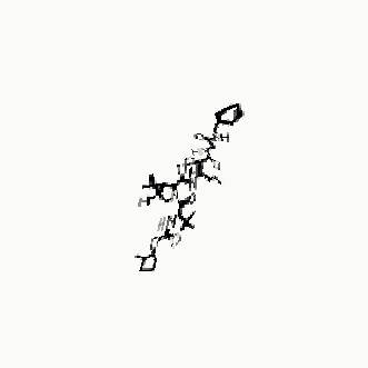 CCCC(NC(=O)C1C2[C@H](CN1C(=O)[C@@H](NC(=O)OC1CCCC1C)C(C)(C)C)C2(C)C)C(=O)C(=O)NCC(=O)NCc1ccccc1